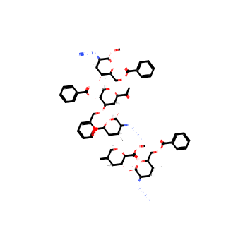 COC(=O)C1O[C@@H](O[C@@H]2C(CO)O[C@@H](O[C@H]3C(C(C)=O)O[C@@H](O[C@@H]4C(COC(=O)c5ccccc5)O[C@H](OC)C(N=[N+]=[N-])[C@H]4C)[C@@H](OC(=O)c4ccccc4)C3OCc3ccccc3)C(N=[N+]=[N-])[C@H]2C)C(C)[C@@H](C)[C@@H]1O[C@H]1OC(COC(=O)c2ccccc2)[C@@H](C)[C@H](C)C1N=[N+]=[N-]